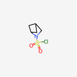 O=S(=O)(Cl)N1CC2CC1C2